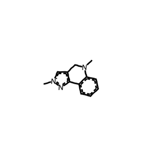 CN1Cc2cn(C)nc2-c2ccccc21